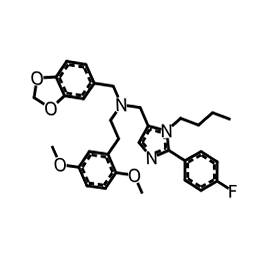 CCCCn1c(CN(CCc2cc(OC)ccc2OC)Cc2ccc3c(c2)OCO3)cnc1-c1ccc(F)cc1